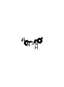 Cc1ccc2[nH]c(SCc3cc(N(C)C)ccn3)cc2c1